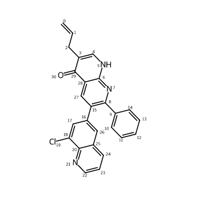 C=CCc1c[nH]c2nc(-c3ccccc3)c(-c3cc(Cl)c4ncccc4c3)cc2c1=O